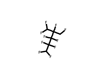 FCC(F)([C](F)F)C(F)(F)C(F)(F)[C](F)F